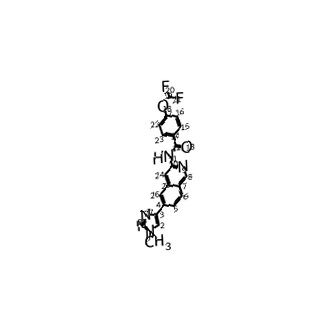 Cn1cc(-c2ccc3cnc(NC(=O)c4ccc(OC(F)F)cc4)cc3c2)nn1